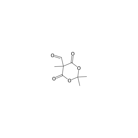 CC1(C)OC(=O)C(C)(C=O)C(=O)O1